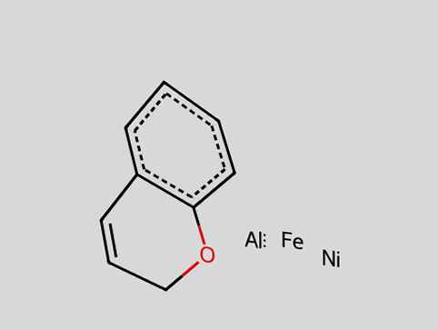 C1=Cc2ccccc2OC1.[Al].[Fe].[Ni]